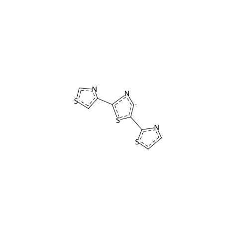 [c]1nc(-c2cscn2)sc1-c1nccs1